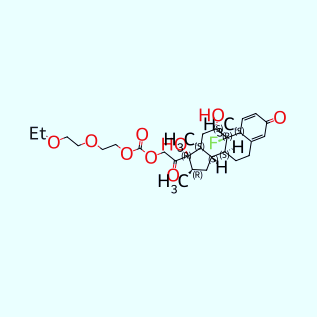 CCOCCOCCOC(=O)OCC(=O)[C@@]1(O)[C@H](C)C[C@H]2[C@@H]3CCC4=CC(=O)C=C[C@]4(C)[C@@]3(F)[C@@H](O)C[C@@]21C